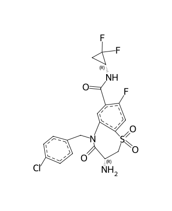 N[C@H]1CS(=O)(=O)c2cc(F)c(C(=O)N[C@@H]3CC3(F)F)cc2N(Cc2ccc(Cl)cc2)C1=O